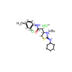 CCCCN1/C(=N/C2CCCCC2)SCC1CC(=O)Nc1ccc(C)cc1Cl.Cl